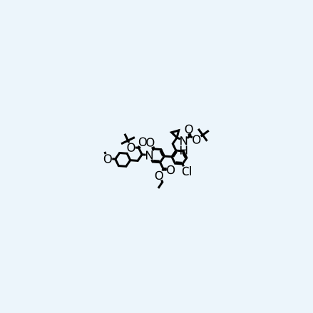 CCOC(=O)c1cn(C(CC2CCC(OC)CC2)C(=O)OC(C)(C)C)c(=O)cc1-c1cc(Cl)ccc1CC1(NC(=O)OC(C)(C)C)CC1